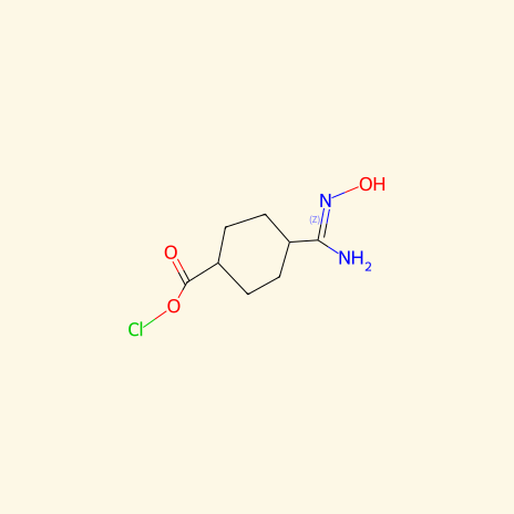 N/C(=N\O)C1CCC(C(=O)OCl)CC1